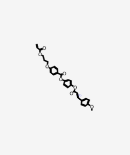 C=CC(=O)OCCCOc1ccc(C(=O)Oc2ccc(OC(=O)/C=C/c3ccc(OC)cc3)cc2)cc1